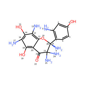 Nc1cc(O)ccc1[C@@]1(N)Oc2c(N)c(O)c(N)c(O)c2C(=O)C1(N)N